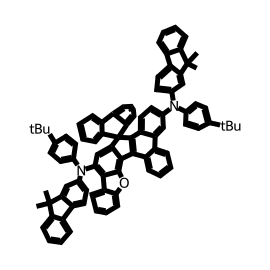 CC(C)(C)c1ccc(N(c2ccc3c(c2)C(C)(C)c2ccccc2-3)c2ccc3c4c(c5ccccc5c3c2)-c2c(cc(N(c3ccc(C(C)(C)C)cc3)c3ccc5c(c3)C(C)(C)c3ccccc3-5)c3c2oc2ccccc23)C42c3ccccc3-c3ccccc32)cc1